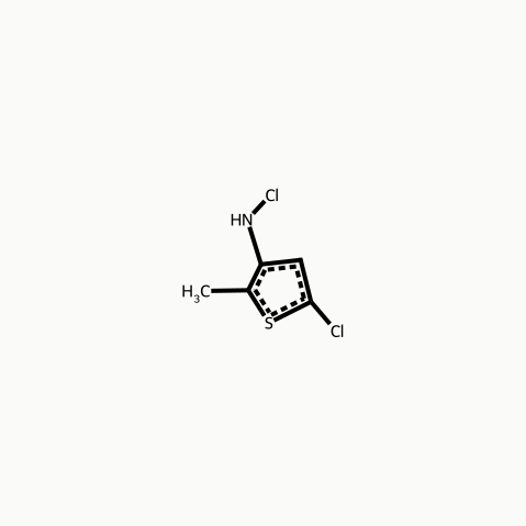 Cc1sc(Cl)cc1NCl